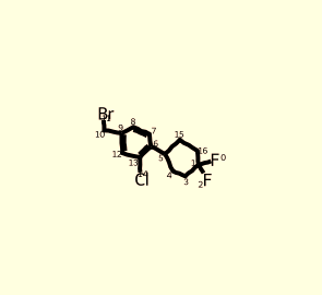 FC1(F)CCC(c2ccc(CBr)cc2Cl)CC1